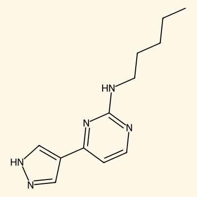 CCCCCNc1nccc(-c2cn[nH]c2)n1